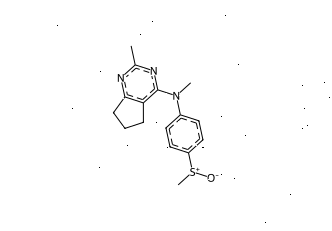 Cc1nc2c(c(N(C)c3ccc([S+](C)[O-])cc3)n1)CCC2